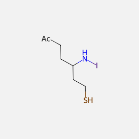 CC(=O)CCC(CCS)NI